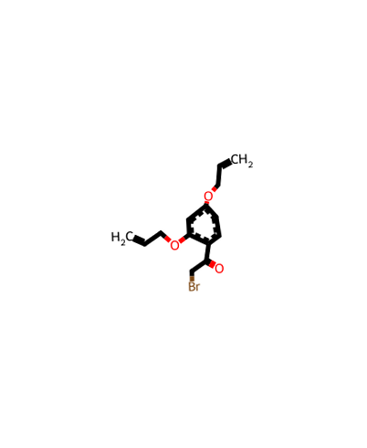 C=CCOc1ccc(C(=O)CBr)c(OCC=C)c1